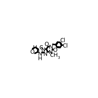 CN1C(=O)N(Cc2ccc(Cl)c(Cl)c2)C(=O)C2C1N=C(N[C@@H]1CCCOC1)N2C